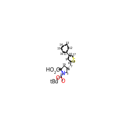 CC(C)(C)OC(=O)N1C[C@@H](Cc2cc(-c3ccccc3)cs2)C[C@@H]1C(=O)O